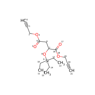 C#CCOC(=O)CC(O[Si](CC)(CC)CC)C(=O)OCC#C